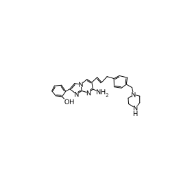 Nc1nc2nc(-c3ccccc3O)cn2cc1/C=C/Cc1ccc(CN2CCNCC2)cc1